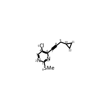 CSc1ncc(Cl)c(C#CCC2CC2)n1